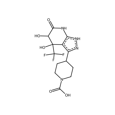 O=C1Nc2[nH]nc(C3CCN(C(=O)O)CC3)c2C(O)(C(F)(F)F)C1O